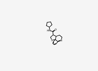 O=C(NC1CCCC1)C1CSC23C=CC=CC2=NCCC13